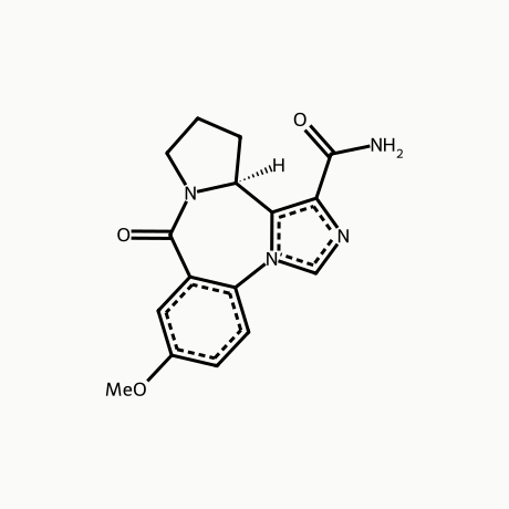 COc1ccc2c(c1)C(=O)N1CCC[C@H]1c1c(C(N)=O)ncn1-2